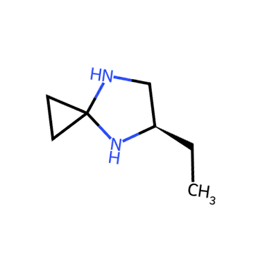 CC[C@@H]1CNC2(CC2)N1